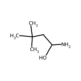 CC(C)(C)CC(N)O